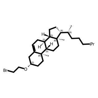 CC(C)CCC[C@@H](C)[C@H]1CC[C@H]2[C@@H]3CC=C4C[C@@H](OCCBr)CC[C@]4(C)[C@H]3CC[C@]12C